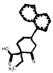 CCC1(C(=O)O)CCC(c2cccc3ccccc23)CC1=O